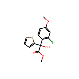 COC(=O)C(O)(c1cccs1)c1ccc(OC)cc1Br